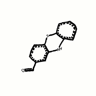 O=Cc1ccc2c(c1)Nc1ccccc1S2